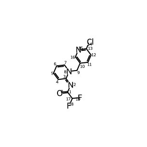 O=C(N=c1ccccn1Cc1ccc(Cl)nc1)C(F)F